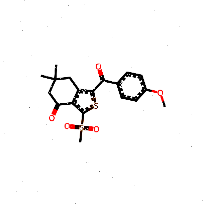 COc1ccc(C(=O)c2sc(S(C)(=O)=O)c3c2CC(C)(C)CC3=O)cc1